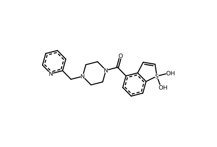 O=C(c1cccc2c1C=CS2(O)O)N1CCN(Cc2ccccn2)CC1